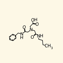 CCCCNC(=O)CN(CC(=O)O)CC(=O)NCc1ccccc1